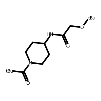 CC(C)(C)OCC(=O)NC1CCN(C(=O)C(C)(C)C)CC1